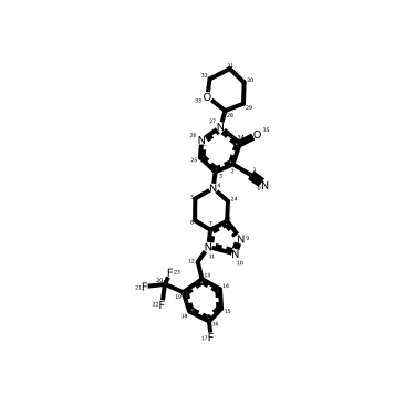 N#Cc1c(N2CCc3c(nnn3Cc3ccc(F)cc3C(F)(F)F)C2)cnn(C2CCCCO2)c1=O